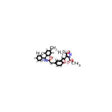 COC(=O)c1noc(C)c1-c1cc2cc(CC(=O)NC(c3ccccc3)c3ccc(C)cc3C)ccc2o1